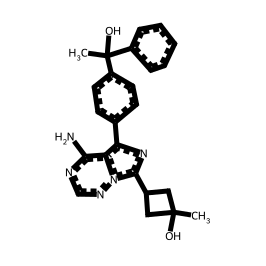 CC1(O)CC(c2nc(-c3ccc(C(C)(O)c4ccccc4)cc3)c3c(N)ncnn23)C1